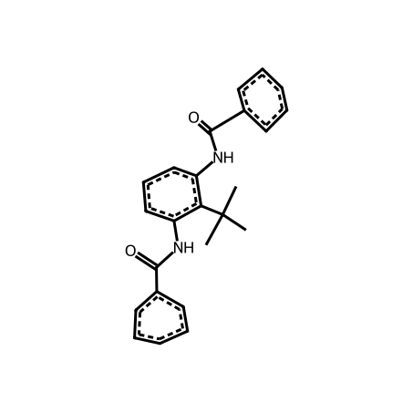 CC(C)(C)c1c(NC(=O)c2ccccc2)cccc1NC(=O)c1ccccc1